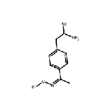 CC(=O)C(N)Cc1ccc(/C(C)=N\OC(C)C)cc1